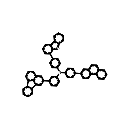 c1cc(-c2cc3c4c(cccc4c2)-c2ccccc2-3)cc(N(c2ccc(-c3ccc4c(ccc5ccccc54)c3)cc2)c2ccc(-c3cccc4c3oc3ccccc34)cc2)c1